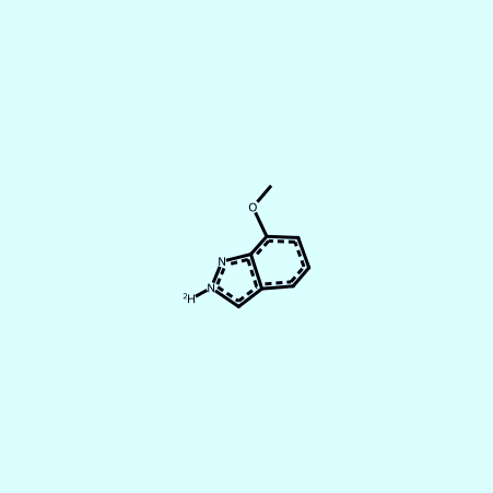 [2H]n1cc2cccc(OC)c2n1